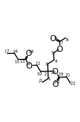 [CH2]CC(CCCOC(C)=O)(CCOC(=O)CCC)OC(=O)CC